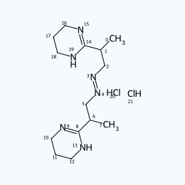 CC(C/N=N/CC(C)C1=NCCCN1)C1=NCCCN1.Cl.Cl